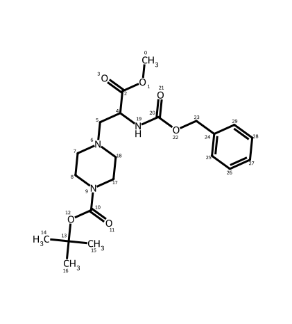 COC(=O)C(CN1CCN(C(=O)OC(C)(C)C)CC1)NC(=O)OCc1ccccc1